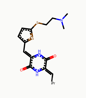 CC(C)C=c1[nH]c(=O)c(=Cc2ccc(SCCN(C)C)s2)[nH]c1=O